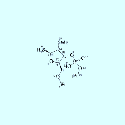 B[C@@H]1O[C@H](COC(C)C)[C@@H](OP(=O)(O)OC(C)C)C1SC